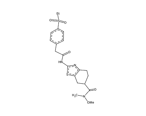 CCS(=O)(=O)c1ccc(CC(=O)Nc2nc3c(s2)CC(C(=O)N(C)OC)CC3)cc1